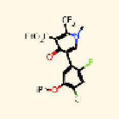 CCOC(=O)c1c(C(F)(F)F)n(C)cc(-c2cc(OC(C)C)c(Cl)cc2F)c1=O